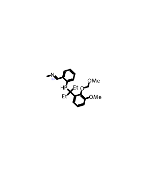 CCC(CC)(Pc1ccccc1/C=N/C)c1cccc(OC)c1OCOC